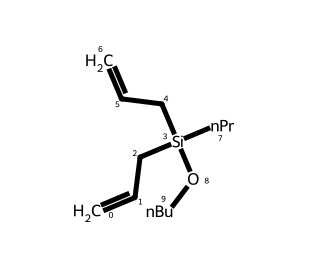 C=CC[Si](CC=C)(CCC)OCCCC